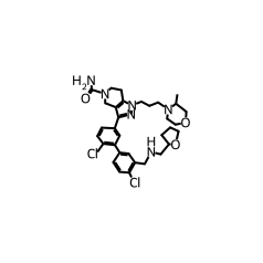 CC1COCCN1CCCn1nc(-c2ccc(Cl)c(-c3ccc(Cl)c(CNCC4CCCO4)c3)c2)c2c1CCN(C(N)=O)C2